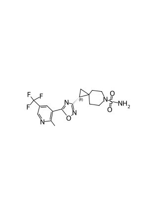 Cc1ncc(C(F)(F)F)cc1-c1nc([C@@H]2CC23CCN(S(N)(=O)=O)CC3)no1